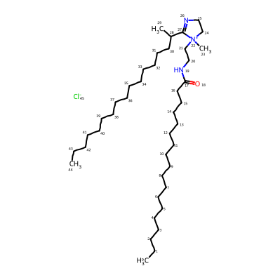 CCCCCCCCCCCCCCCCCC(=O)NCC[N+]1(C)CCN=C1C(C)CCCCCCCCCCCCCCC.[Cl-]